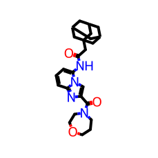 O=C(CC12CC3CC(CC(C3)C1)C2)Nc1cccc2nc(C(=O)N3CCCOCC3)cn12